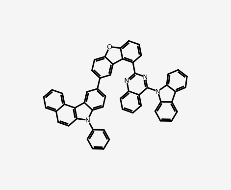 c1ccc(-n2c3ccc(-c4ccc5oc6cccc(-c7nc(-n8c9ccccc9c9ccccc98)c8ccccc8n7)c6c5c4)cc3c3c4ccccc4ccc32)cc1